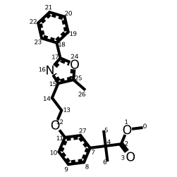 COC(=O)C(C)(C)c1cccc(OCCc2nc(-c3ccccc3)oc2C)c1